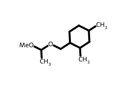 COC(C)OCC1CCC(C)CC1C